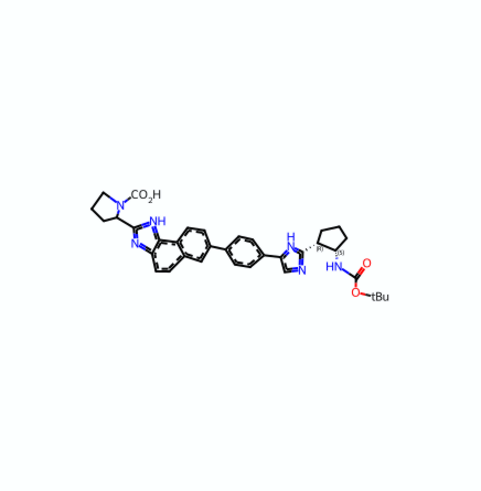 CC(C)(C)OC(=O)N[C@H]1CCC[C@H]1c1ncc(-c2ccc(-c3ccc4c(ccc5nc(C6CCCN6C(=O)O)[nH]c54)c3)cc2)[nH]1